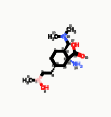 CB(O)CC[C@@H]1CC[C@@H](CN(C)C)[C@@](N)(C(=O)O)C1